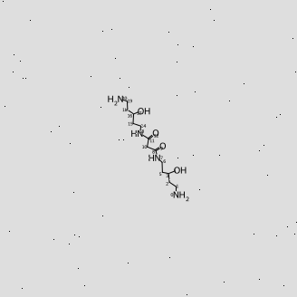 NCCC(O)CCNC(=O)CC(=O)NCCC(O)CCN